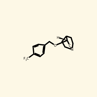 FC(F)(F)c1ccc(CO[C@H]2CN3CCC2CC3)cc1